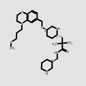 COCCCN1CCOc2ccc(CO[C@@H]3CC[C@@H](CC(C)(C)C(=O)NC[C@@H]4CCCNC4)NC3)cc21